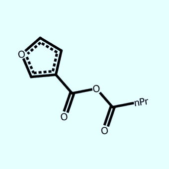 CCCC(=O)OC(=O)c1ccoc1